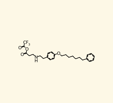 O=C(CCNCCc1ccc(OCCCCCCCc2ccccc2)cc1)OC(=O)C(F)(F)F